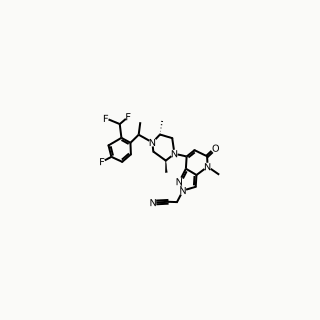 CC(c1ccc(F)cc1C(F)F)N1C[C@H](C)N(c2cc(=O)n(C)c3cn(CC#N)nc23)C[C@H]1C